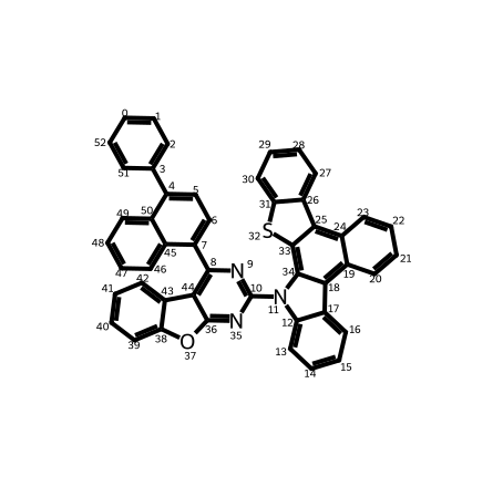 c1ccc(-c2ccc(-c3nc(-n4c5ccccc5c5c6ccccc6c6c7ccccc7sc6c54)nc4oc5ccccc5c34)c3ccccc23)cc1